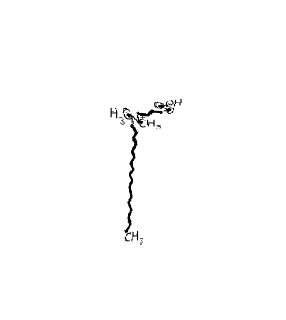 CCCCCCCCCCCCCCCCCC[N+](C)(C)CCCCS(=O)(=O)O